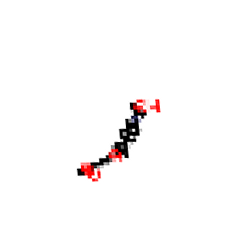 CCOC(=O)CCCCCOc1ccc(C(CC)(CC)c2ccc(/C=C/C(O)(CC)CC)c(C)c2)cc1C